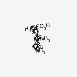 CC1(NC(=O)O)CCN(c2cnc(Sc3cccc(N)c3Cl)c(N)n2)CC1